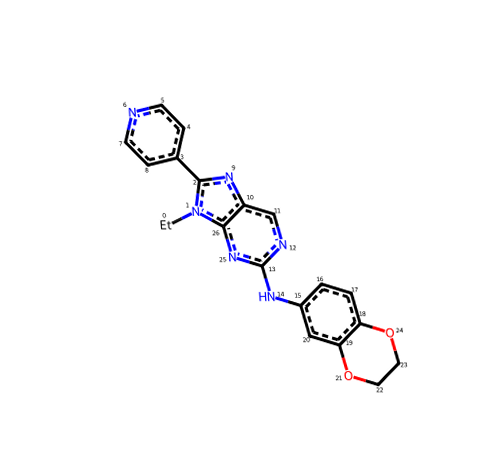 CCn1c(-c2ccncc2)nc2cnc(Nc3ccc4c(c3)OCCO4)nc21